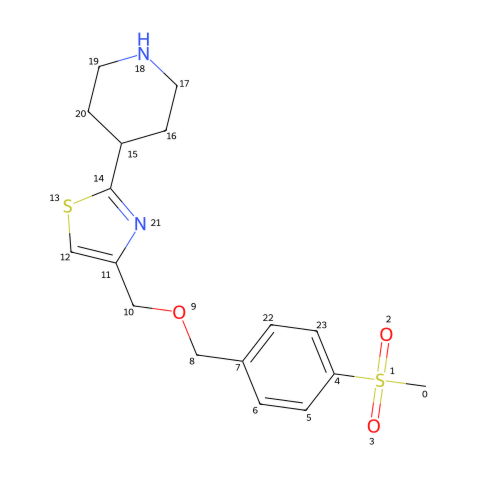 CS(=O)(=O)c1ccc(COCc2csc(C3CCNCC3)n2)cc1